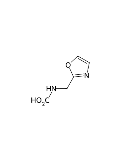 O=C(O)NCc1ncco1